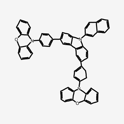 C1=C(c2ccc3c(c2)c2cc(-c4ccc(N5c6ccccc6Oc6ccccc65)cc4)ccc2n3-c2ccc3ccccc3c2)CCC(N2c3ccccc3Oc3ccccc32)=C1